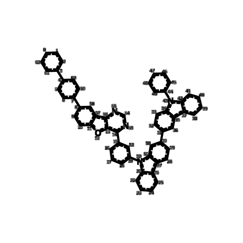 c1ccc(-c2ccc(-c3ccc4oc5c(-c6cccc(-n7c8ccccc8c8ccc(-c9ccc%10c(c9)c9ccccc9n%10-c9ccccc9)cc87)c6)ncnc5c4c3)cc2)cc1